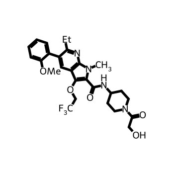 CCc1nc2c(cc1-c1ccccc1OC)c(OCC(F)(F)F)c(C(=O)NC1CCN(C(=O)CO)CC1)n2C